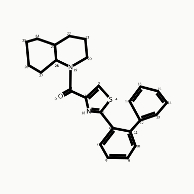 O=C(c1csc(-c2ccccc2-c2ccccc2)n1)N1CCCC2CCCCC21